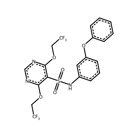 O=S(=O)(Nc1cccc(Oc2ccccc2)c1)c1c(OCC(F)(F)F)ncnc1OCC(F)(F)F